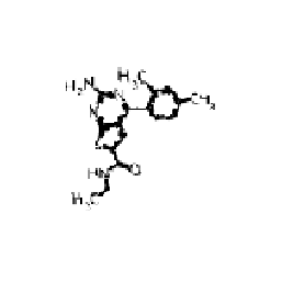 CCNC(=O)c1cc2c(-c3ccc(C)cc3C)nc(N)nc2s1